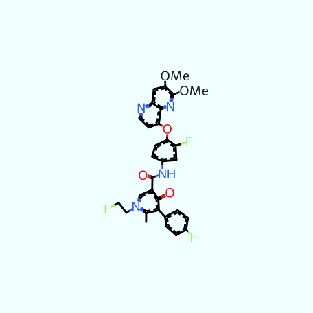 COc1cc2nccc(Oc3ccc(NC(=O)c4cn(CCF)c(C)c(-c5ccc(F)cc5)c4=O)cc3F)c2nc1OC